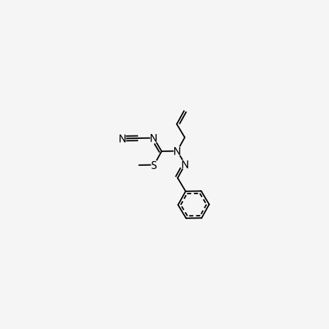 C=CCN(N=Cc1ccccc1)C(=NC#N)SC